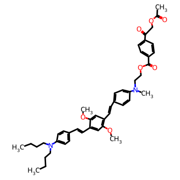 CCCCN(CCCC)c1ccc(C=Cc2cc(OC)c(C=Cc3ccc(N(C)CCOC(=O)c4ccc(C(=O)COC(C)=O)cc4)cc3)cc2OC)cc1